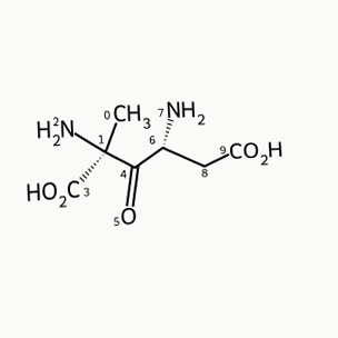 C[C@@](N)(C(=O)O)C(=O)[C@H](N)CC(=O)O